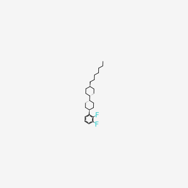 CCCCCCC[C@H]1CC[C@H]([C@H]2CC[C@H](c3cccc(F)c3F)CC2)CC1